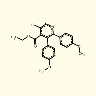 CCOC(=O)c1c(Cl)nnc(-c2ccc(OC)cc2)c1-c1ccc(OC)cc1